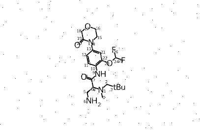 CN(CC(C)(C)C)[C@@H](CN)C(=O)Nc1ccc(N2CCOCC2=O)cc1OC(F)F